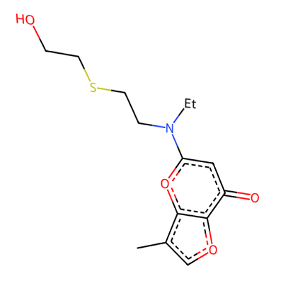 CCN(CCSCCO)c1cc(=O)c2occ(C)c2o1